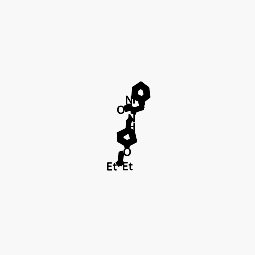 CCC(CC)COc1ccc(CNC(Cc2ccccc2)C(N)=O)cc1